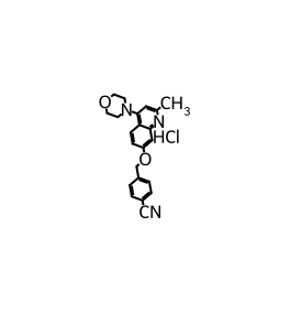 Cc1cc(N2CCOCC2)c2ccc(OCc3ccc(C#N)cc3)cc2n1.Cl